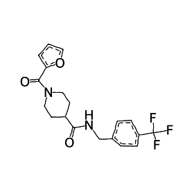 O=C(NCc1ccc(C(F)(F)F)cc1)C1CCN(C(=O)c2ccco2)CC1